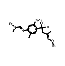 CCO/N=C(\C)CC(O)(c1cc(C)c(N=CN(C)CC)cc1OC)C(F)(F)F